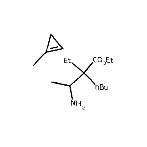 CC1=CC1.CCCCC(CC)(C(=O)OCC)C(C)N